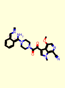 C=N/C=c1/cccc/c1=C(/N)N1CCN(C(=O)C(=O)c2cn(C)c3c(C#N)ncc(OC)c23)CC1